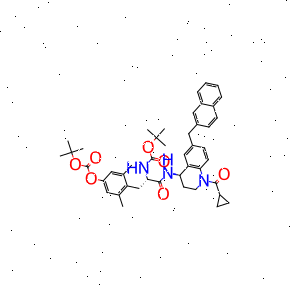 Cc1cc(OC(=O)OC(C)(C)C)cc(C)c1C[C@H](NC(=O)OC(C)(C)C)C(=O)N[C@@H]1CCN(C(=O)C2CC2)c2ccc(Cc3ccc4ccccc4c3)cc21